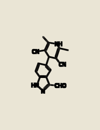 [C-]#[N+]C1=C(C)NC(C)=C(C#N)C1c1ccc2[nH]nc(C=O)c2c1